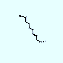 CCCCCCC=CCCCC=CC#N